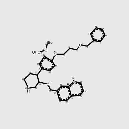 CC(C)(C)OC=O.c1ccc(COCCCOc2ccc(C3CCNCC3OCc3ccc4cccnc4c3)cc2)cc1